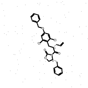 C=CC[C@@H](Cc1c(Cl)cc(OCc2ccccc2)cc1Cl)C(=O)N1C(=O)OC[C@H]1Cc1ccccc1